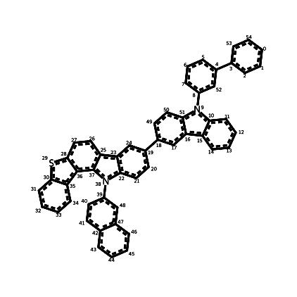 c1ccc(-c2cccc(-n3c4ccccc4c4cc(-c5ccc6c(c5)c5ccc7sc8ccccc8c7c5n6-c5ccc6ccccc6c5)ccc43)c2)cc1